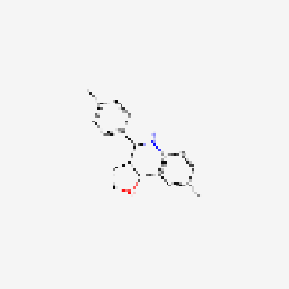 Cc1ccc(C2Nc3ccc(C)cc3C3OCCC23)cc1